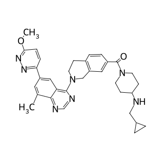 COc1ccc(-c2cc(C)c3ncnc(N4CCc5ccc(C(=O)N6CCC(NCC7CC7)CC6)cc5C4)c3c2)nn1